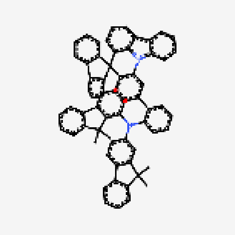 CC1(C)c2ccccc2-c2ccc(N(c3ccccc3-c3ccc4c(c3)-n3c5ccccc5c5cccc(c53)C43c4ccccc4-c4ccccc43)c3cccc4c3C(C)(C)c3ccccc3-4)cc21